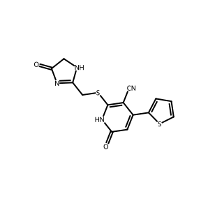 N#Cc1c(-c2cccs2)cc(=O)[nH]c1SCC1=NC(=O)CN1